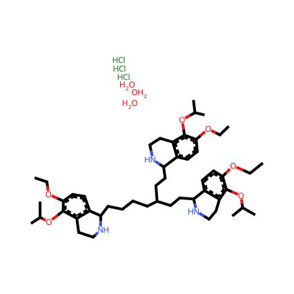 CCOc1ccc2c(c1OC(C)C)CCNC2CCCCC(CCC1NCCc2c1ccc(OCC)c2OC(C)C)CCC1NCCc2c1ccc(OCC)c2OC(C)C.Cl.Cl.Cl.O.O.O